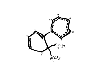 O=C(O)C1([N+](=O)[O-])CC=CC=C1c1ccccc1